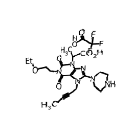 CC#CCn1c(N2CCNCC2)nc2c1c(=O)n(CCOCC)c(=O)n2C(C)C(=O)O.O=C(O)C(F)(F)F